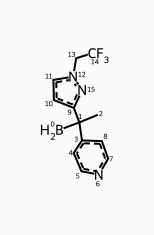 BC(C)(c1ccncc1)c1ccn(CC(F)(F)F)n1